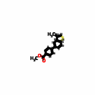 COC(=O)c1ccc(-c2ccc3scc(C)c3c2)cc1